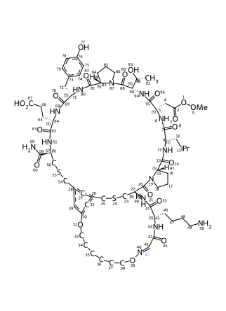 COOC(=O)C[C@@H]1NC(=O)[C@H](CC(C)C)NC(=O)[C@@H]2CCCN2C(=O)[C@@H]2CSCc3cc(cc(c3)OCCCCCCO/N=C/C(=O)N[C@@H](CCCCN)C(=O)N2)CSC[C@@H](C(N)=O)NC(=O)[C@H](CCC(=O)O)NC(=O)[C@H](Cc2ccc(O)cc2)NC(=O)[C@@H]2CCCN2C(=O)[C@H]([C@@H](C)O)NC1=O